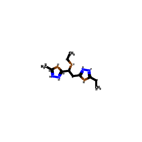 CCSC(Cc1nnc(CC)s1)c1nnc(C)s1